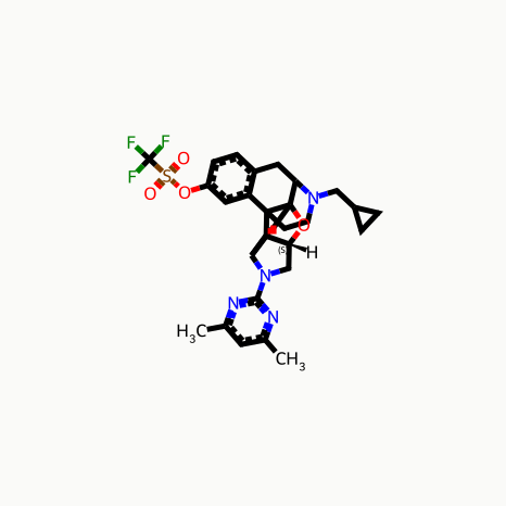 Cc1cc(C)nc(N2C[C@H]3OC45CCC2C3C42CCN(CC3CC3)C5Cc3ccc(OS(=O)(=O)C(F)(F)F)cc32)n1